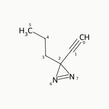 C#CC1(CCC)N=N1